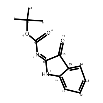 CC(C)(C)OC(=O)N=C1Nc2ccccc2C1=O